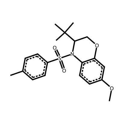 COc1ccc2c(c1)OCC(C(C)(C)C)N2S(=O)(=O)c1ccc(C)cc1